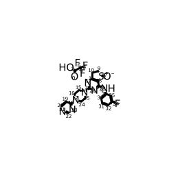 O=C(O)C(F)(F)F.[O-][S+]1CCc2nc(N3CCN(c4ccncn4)CC3)nc(Nc3cccc(F)c3)c21